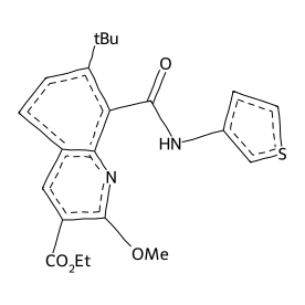 CCOC(=O)c1cc2ccc(C(C)(C)C)c(C(=O)Nc3ccsc3)c2nc1OC